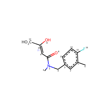 Cc1cc(CN(C)C(=O)/C=C(\O)C(=O)O)ccc1F